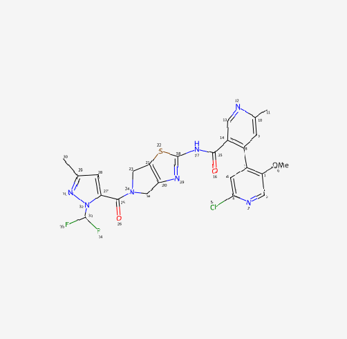 COc1cnc(Cl)cc1-c1cc(C)ncc1C(=O)Nc1nc2c(s1)CN(C(=O)c1cc(C)nn1C(F)F)C2